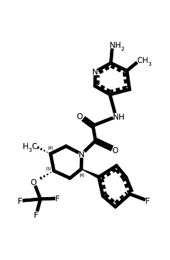 Cc1cc(NC(=O)C(=O)N2C[C@@H](C)[C@@H](OC(F)(F)F)C[C@@H]2c2ccc(F)cc2)cnc1N